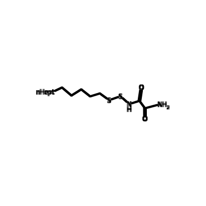 CCCCCCCCCCCCSSNC(=O)C(N)=O